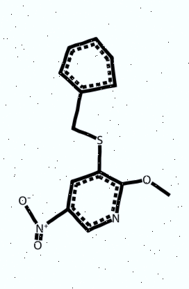 COc1ncc([N+](=O)[O-])cc1SCc1ccccc1